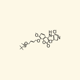 COc1ccc2c(Nc3c(Cl)cncc3Cl)cc(=O)oc2c1OCC=CCO[Si](C)(C)C(C)(C)C